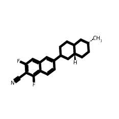 C[C@@H]1CC[C@@H]2CC(c3ccc4c(F)c(C#N)c(F)cc4c3)CCC2C1